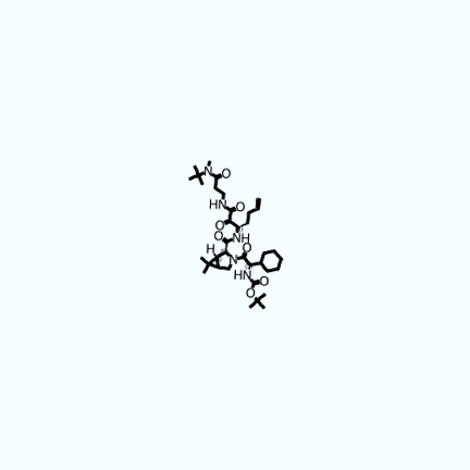 C=CCC[C@@H](NC(=O)[C@@H]1[C@@H]2C(CN1C(=O)[C@@H](NC(=O)OC(C)(C)C)C1CCCCC1)C2(C)C)C(=O)C(=O)NCCC(=O)N(C)C(C)(C)C